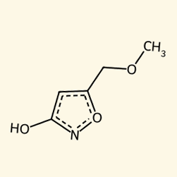 COCc1cc(O)no1